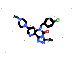 CC(=O)N1CCN(c2cnc3c(c2)n(Cc2ccc(Cl)cc2)c(=O)n2c(C(C)(C)C)nnc32)CC1